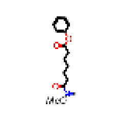 CON(C)C(=O)CCCCCC(=O)Oc1ccccc1